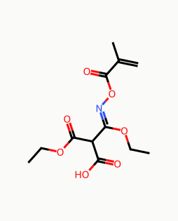 C=C(C)C(=O)ON=C(OCC)C(C(=O)O)C(=O)OCC